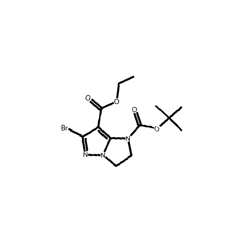 CCOC(=O)c1c(Br)nn2c1N(C(=O)OC(C)(C)C)CC2